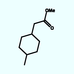 COC(=O)CC1CCC(C)CC1